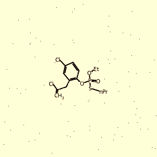 C=C(Cl)Cc1cc(Cl)ccc1OP(=O)(OCC)SCCC